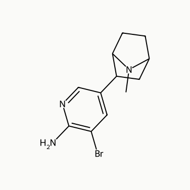 CN1C2CCC1C(c1cnc(N)c(Br)c1)C2